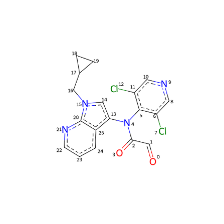 O=CC(=O)N(c1c(Cl)cncc1Cl)c1cn(CC2CC2)c2ncccc12